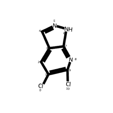 Clc1cc2cn[nH]c2nc1Cl